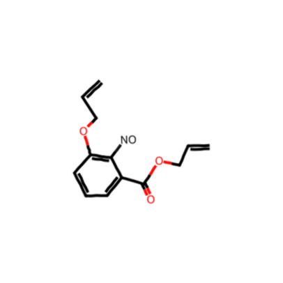 C=CCOC(=O)c1cccc(OCC=C)c1N=O